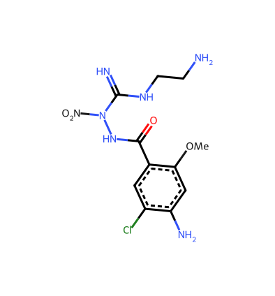 COc1cc(N)c(Cl)cc1C(=O)NN(C(=N)NCCN)[N+](=O)[O-]